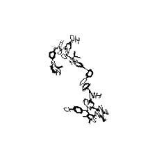 Cc1sc2c(c1C)C(c1ccc(Cl)cc1)=N[C@@H](CC(=O)N[C@H]1C[C@@H](Oc3cccc(-c4cnn([C@@H](C(=O)N5C[C@H](O)C[C@H]5C(=O)N[C@@H](C)c5ccc(-n6ccnc6C)cc5)C(C)C)c4)c3)C1)c1nnc(C)n1-2